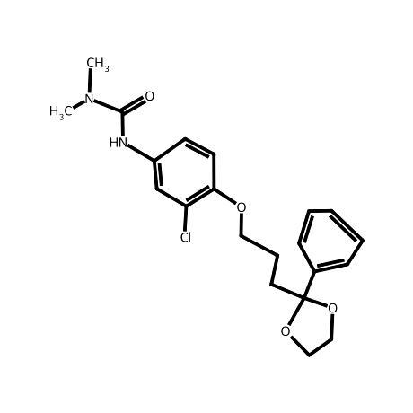 CN(C)C(=O)Nc1ccc(OCCCC2(c3ccccc3)OCCO2)c(Cl)c1